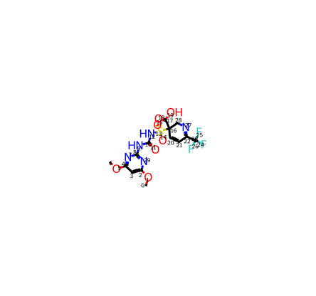 COc1cc(OC)nc(NC(=O)NS(=O)(=O)C2(C(=O)O)C=CC(C(F)(F)F)=NC2)n1